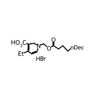 Br.CCCCCCCCCCCCCC(=O)OCN1C=CC(CC)=C(C(=O)O)C1